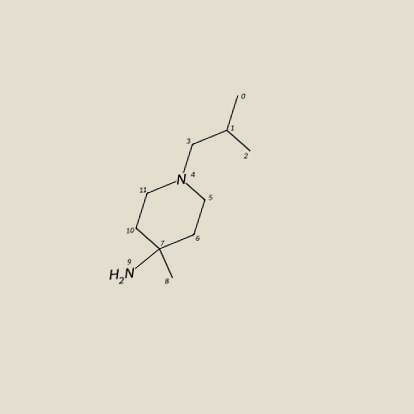 CC(C)CN1CCC(C)(N)CC1